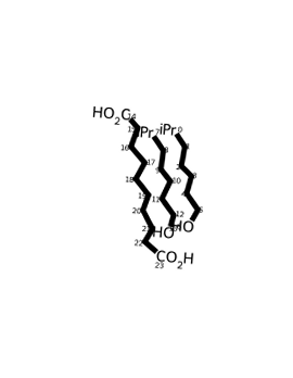 CC(C)CCCCCO.CC(C)CCCCCO.O=C(O)CCCCCCCCC(=O)O